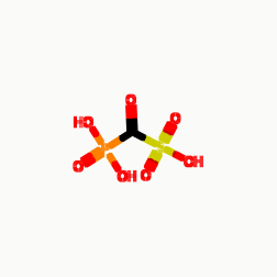 O=C(P(=O)(O)O)S(=O)(=O)O